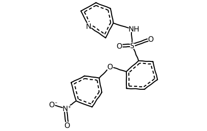 O=[N+]([O-])c1ccc(Oc2ccccc2S(=O)(=O)Nc2cccnc2)cc1